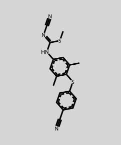 CS/C(=N\C#N)Nc1cc(C)c(Sc2ccc(C#N)cc2)c(C)c1